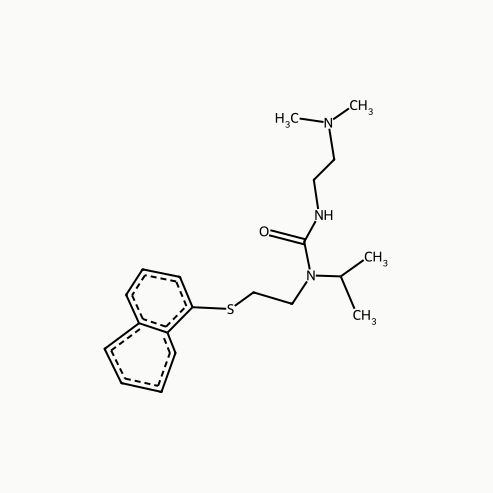 CC(C)N(CCSc1cccc2ccccc12)C(=O)NCCN(C)C